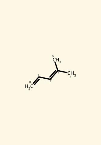 C=C[C]=C(C)C